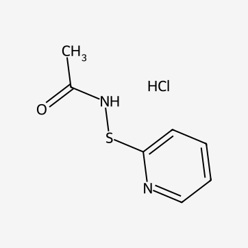 CC(=O)NSc1ccccn1.Cl